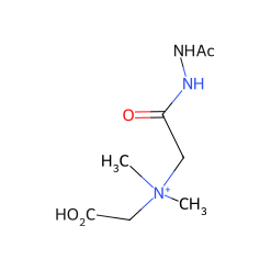 CC(=O)NNC(=O)C[N+](C)(C)CC(=O)O